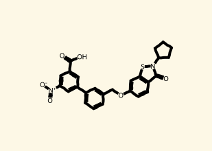 O=C(O)c1cc(-c2cccc(COc3ccc4c(=O)n(C5CCCC5)sc4c3)c2)cc([N+](=O)[O-])c1